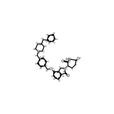 O=C1CC[C@@H](N2Cc3c(OCc4ccc(CN5CCC(Cc6ccccc6)CC5)cc4)cccc3C2=O)C(=O)N1